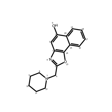 Oc1cc2nc(CN3CCCCC3)oc2c2ccccc12